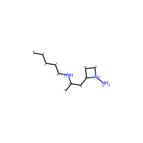 CCCCCNC(C)CC1CCN1N